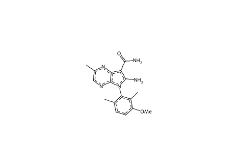 COc1ccc(C)c(-n2c(N)c(C(N)=O)c3nc(C)cnc32)c1C